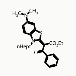 CCCCCCCN1/C(=C(/C(=O)OCC)C(=O)c2ccccc2)Sc2cc(N(C)C)ccc21